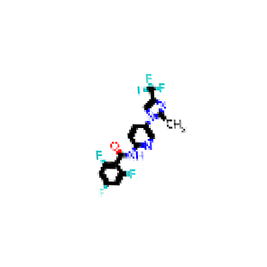 Cc1nc(C(F)(F)F)cn1-c1ccc(NC(=O)c2c(F)cc(F)cc2F)nc1